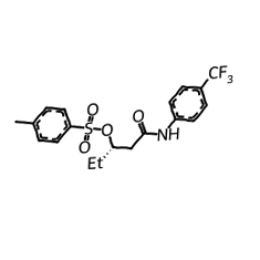 CC[C@@H](CC(=O)Nc1ccc(C(F)(F)F)cc1)OS(=O)(=O)c1ccc(C)cc1